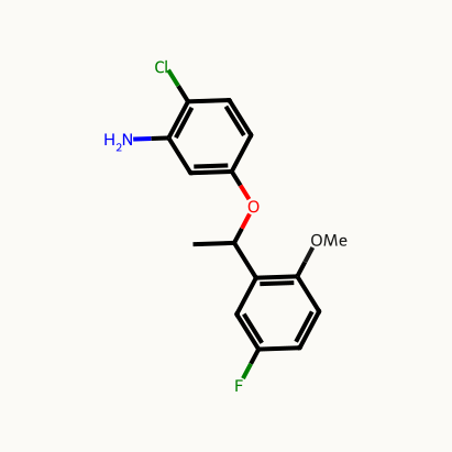 COc1ccc(F)cc1C(C)Oc1ccc(Cl)c(N)c1